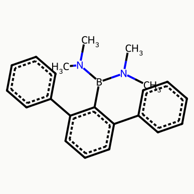 CN(C)B(c1c(-c2ccccc2)cccc1-c1ccccc1)N(C)C